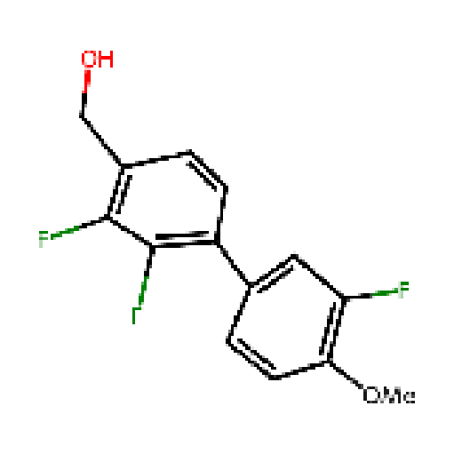 COc1ccc(-c2ccc(CO)c(F)c2F)cc1F